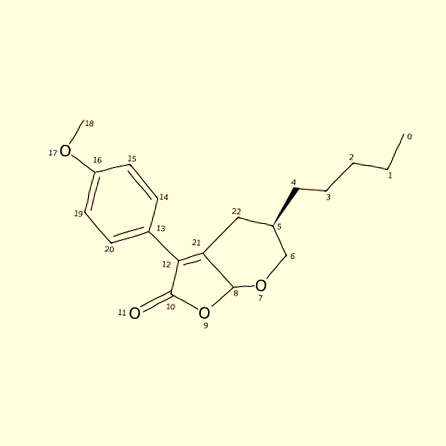 CCCCC[C@H]1COC2OC(=O)C(c3ccc(OC)cc3)=C2C1